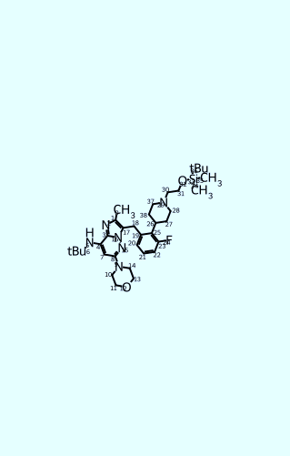 Cc1nc2c(NC(C)(C)C)cc(N3CCOCC3)nn2c1Cc1cccc(F)c1C1CCN(CCO[Si](C)(C)C(C)(C)C)CC1